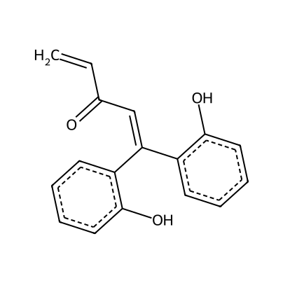 C=CC(=O)C=C(c1ccccc1O)c1ccccc1O